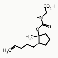 C=CCCC[C@@H]1CCC[C@@]1(C)OC(=O)NCC(=O)O